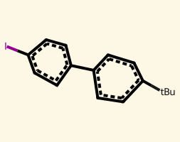 CC(C)(C)c1ccc(-c2ccc(I)cc2)cc1